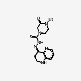 CCN1CCN(C(=S)N/N=C2/CCNc3cccnc32)CC1=O